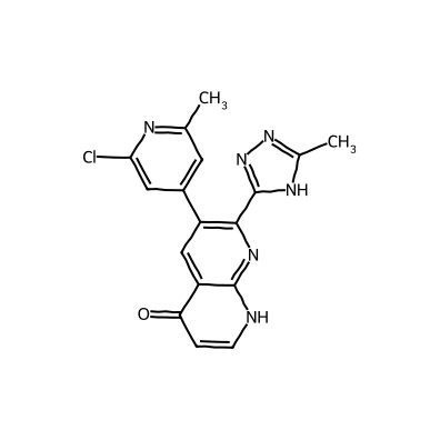 Cc1cc(-c2cc3c(=O)cc[nH]c3nc2-c2nnc(C)[nH]2)cc(Cl)n1